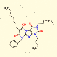 CCCCCCCc1c(O)n2c3c(=O)n(CCCC)c(=O)n(CCCC)c3nc2n(Cc2ccccc2)c1=O